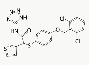 O=C(Nc1nnn[nH]1)C(Sc1ccc(OCc2c(Cl)cccc2Cl)cc1)c1ccsc1